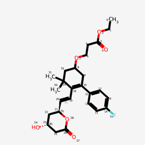 CCOC(=O)CCOC1CC(c2ccc(F)cc2)=C(/C=C/[C@@H]2C[C@@H](O)CC(=O)O2)C(C)(C)C1